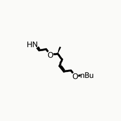 CCCCOC/C=C\C[C@H](C)OCC=N